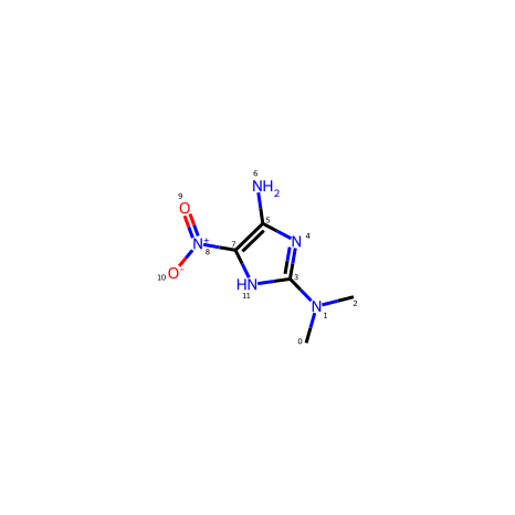 CN(C)c1nc(N)c([N+](=O)[O-])[nH]1